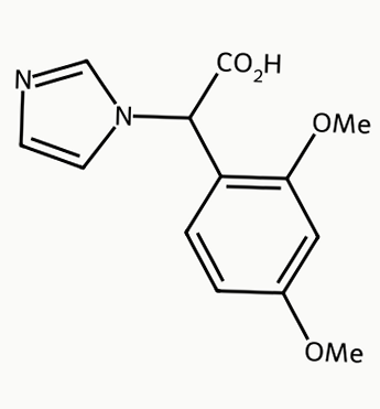 COc1ccc(C(C(=O)O)n2ccnc2)c(OC)c1